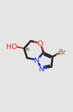 O[C@H]1COc2c(Br)cnn2C1